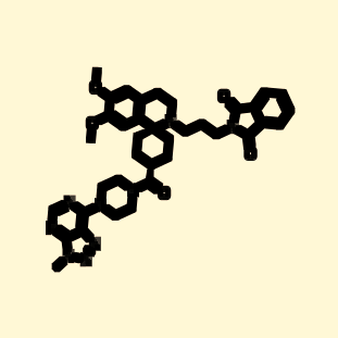 COc1cc2c(cc1OC)[C@]1(CC[C@H](C(=O)N3CCN(c4ncnc5c4nnn5C)CC3)CC1)N(CCCN1C(=O)c3ccccc3C1=O)CC2